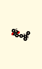 c1ccc(-c2nc(-c3ccc(-c4ccc5c(c4)C4(c6ccccc6Sc6ccccc64)c4ccccc4-5)cc3)c3ccccc3n2)cc1